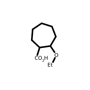 CCOC1CCCCCC1C(=O)O